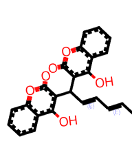 C/C=C/C=C/C(c1c(O)c2ccccc2oc1=O)c1c(O)c2ccccc2oc1=O